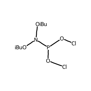 CC(C)CON(OCC(C)C)P(OCl)OCl